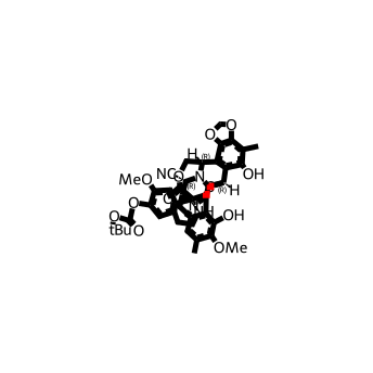 COc1cc2c(cc1OC(=O)OC(C)(C)C)CCN[C@]21CS[C@@H]2c3c(O)c(C)c4c(c3[C@H](COC1=O)N1C2C2c3c(cc(C)c(OC)c3O)CC([C@@H]1C#N)N2C)OCO4